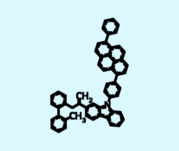 C=C(Cc1ccccc1-c1ccccc1C)c1ccc2c3ccccc3n(-c3ccc(-c4ccc5ccc6c(-c7ccccc7)ccc7ccc4c5c76)cc3)c2c1